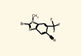 Cn1c(Br)nc2cc(C#N)c(C(F)(F)F)cc21